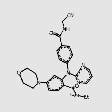 CCNC(=O)c1ccc(N2CCOCC2)cc1N(c1ccc(C(=O)NCC#N)cc1)c1ncccn1